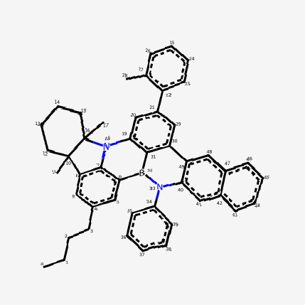 CCCCc1cc2c3c(c1)C1(C)CCCCC1(C)N3c1cc(-c3ccccc3C)cc3c1B2N(c1ccccc1)c1cc2ccccc2cc1-3